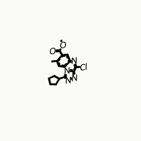 COC(=O)c1cc2nc(Cl)c3nnc(C4CCCC4)n3c2cc1C